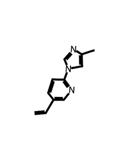 C=Cc1ccc(-n2cnc(C)c2)nc1